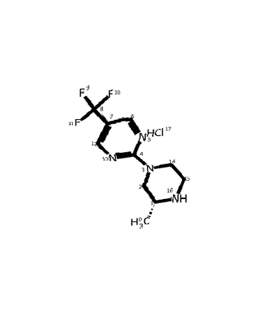 C[C@@H]1CN(c2ncc(C(F)(F)F)cn2)CCN1.Cl